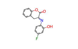 O=C1Oc2ccccc2CC1=Nc1ccc(F)cc1O